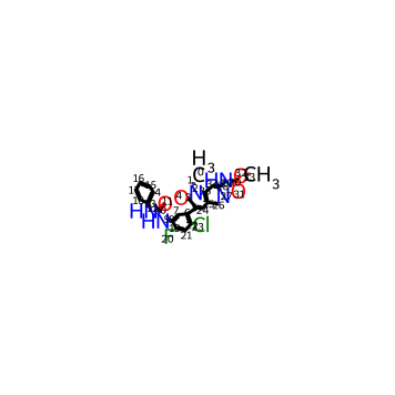 CCn1c(=O)c(-c2cc(NC(=O)Nc3ccccc3)c(F)cc2Cl)cc2cnc(NC(=O)OC)cc21